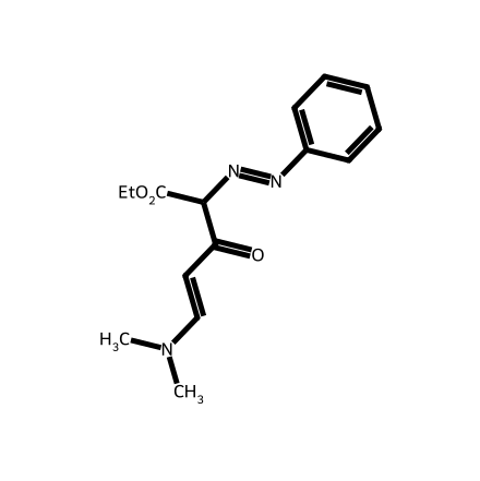 CCOC(=O)C(/N=N/c1ccccc1)C(=O)/C=C/N(C)C